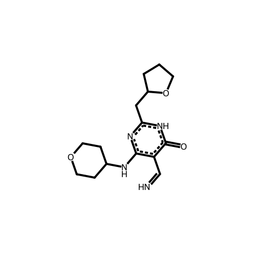 N=Cc1c(NC2CCOCC2)nc(CC2CCCO2)[nH]c1=O